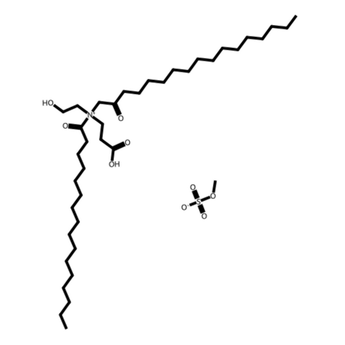 CCCCCCCCCCCCCCCC(=O)C[N+](CCO)(CCC(=O)O)C(=O)CCCCCCCCCCCCCCC.COS(=O)(=O)[O-]